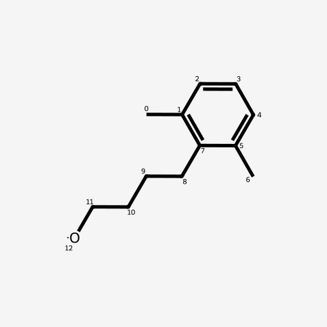 Cc1cccc(C)c1CCCC[O]